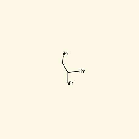 C[CH]CC(CC(C)C)C(C)C